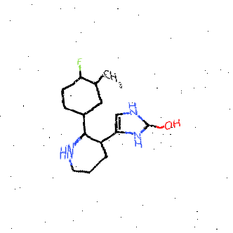 CC1CC(C2NCCCC2C2=CNC(O)N2)CCC1F